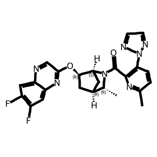 Cc1ccc(-n2nccn2)c(C(=O)N2[C@H](C)[C@H]3C[C@@H](Oc4cnc5cc(F)c(F)cc5n4)[C@@H]2C3)n1